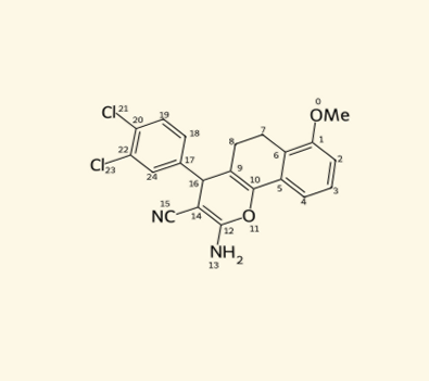 COc1cccc2c1CCC1=C2OC(N)=C(C#N)C1c1ccc(Cl)c(Cl)c1